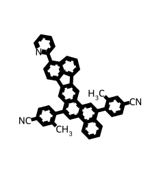 Cc1cc(C#N)ccc1-c1cc2c3cc4c(cc3c(-c3ccc(C#N)cc3C)cc2c2ccccc12)-c1ccc(-c2ccccn2)c2cccc-4c12